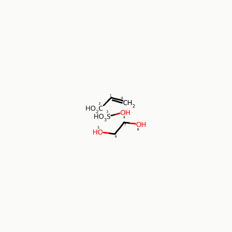 C=CC(=O)O.O=S(=O)(O)O.OCCO